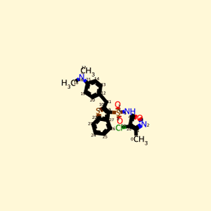 Cc1noc(NS(=O)(=O)c2c(Cc3ccc(N(C)C)cc3)sc3ccccc23)c1Cl